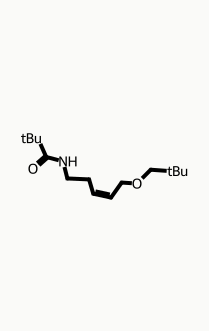 CC(C)(C)COC/C=C\CCNC(=O)C(C)(C)C